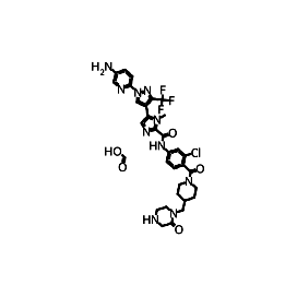 Cn1c(-c2cn(-c3ccc(N)cn3)nc2C(F)(F)F)cnc1C(=O)Nc1ccc(C(=O)N2CCC(CN3CCNCC3=O)CC2)c(Cl)c1.O=CO